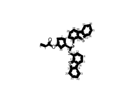 C=CC(=O)Oc1cccc(C(Sc2cccc3c2sc2ccccc23)Sc2cccc3c2sc2ccccc23)c1